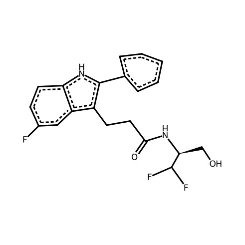 O=C(CCc1c(-c2ccccc2)[nH]c2ccc(F)cc12)N[C@@H](CO)C(F)F